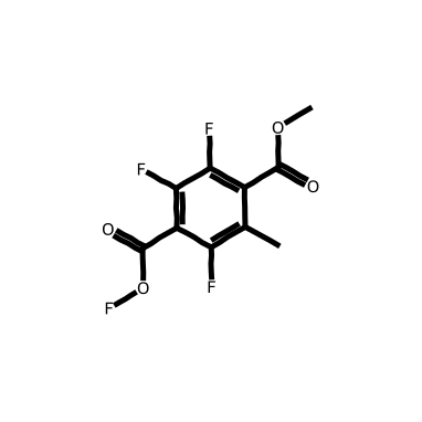 COC(=O)c1c(C)c(F)c(C(=O)OF)c(F)c1F